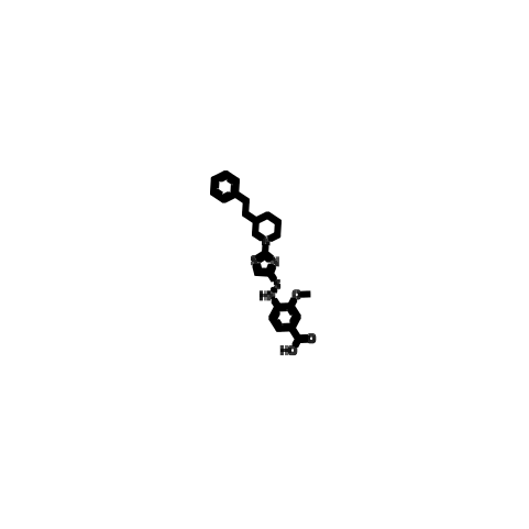 COc1cc(C(=O)O)ccc1NSc1csc(N2CCCC(CCc3ccccc3)C2)n1